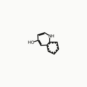 OC1=Cc2ccccc2NC=C1